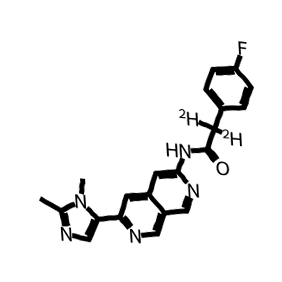 [2H]C([2H])(C(=O)Nc1cc2cc(-c3cnc(C)n3C)ncc2cn1)c1ccc(F)cc1